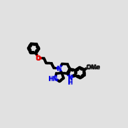 COc1ccc2[nH]c3c(c2c1)CCN(CCCCOc1ccccc1)C31CCNC1